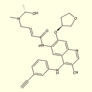 C#Cc1cccc(Nc2c(C#N)cnc3cc(O[C@H]4CCOC4)c(NC(=O)/C=C/CN(C)[C@H](C)O)cc23)c1